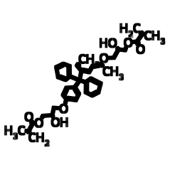 C=C/C(=C\C=C(/C)OCC(O)COC(=O)C(=C)C)C(c1ccccc1)(c1ccccc1)c1ccc(OCC(O)COC(=O)C(=C)C)cc1